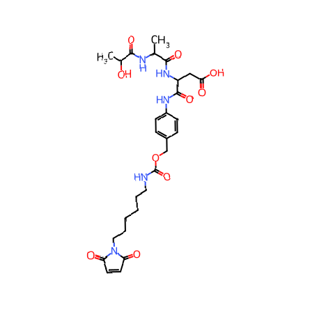 CC(O)C(=O)NC(C)C(=O)NC(CC(=O)O)C(=O)Nc1ccc(COC(=O)NCCCCCCN2C(=O)C=CC2=O)cc1